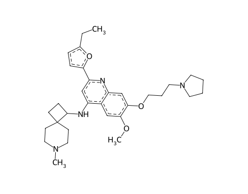 CCc1ccc(-c2cc(NC3CCC34CCN(C)CC4)c3cc(OC)c(OCCCN4CCCC4)cc3n2)o1